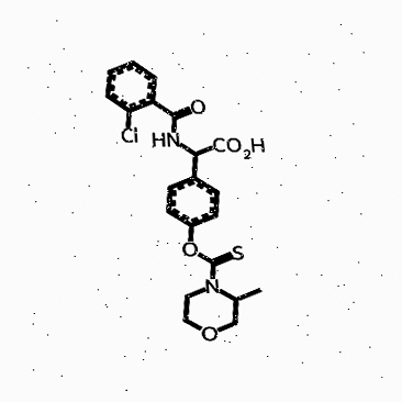 CC1COCCN1C(=S)Oc1ccc(C(NC(=O)c2ccccc2Cl)C(=O)O)cc1